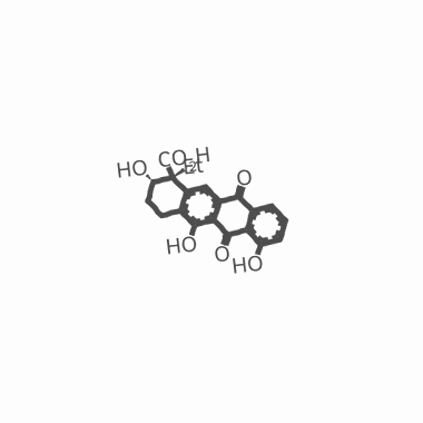 CC[C@@]1(C(=O)O)c2cc3c(c(O)c2CC[C@@H]1O)C(=O)c1c(O)cccc1C3=O